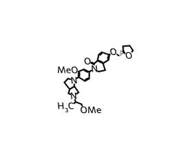 COCC(C)N1CC2CCN(c3ccc(N4CCc5cc(OC[C@@H]6CCCO6)ccc5C4=O)cc3OC)C2C1